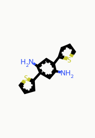 Nc1cc(-c2cccs2)c(N)cc1-c1cccs1